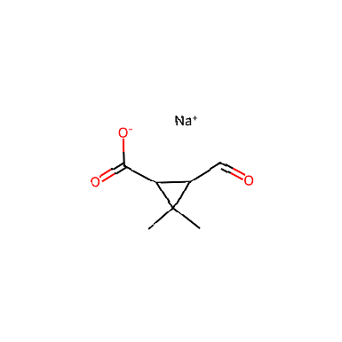 CC1(C)C(C=O)C1C(=O)[O-].[Na+]